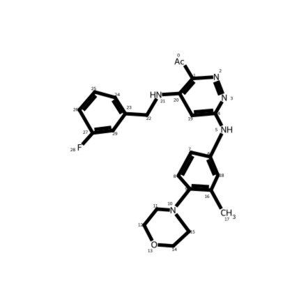 CC(=O)c1nnc(Nc2ccc(N3CCOCC3)c(C)c2)cc1NCc1cccc(F)c1